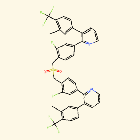 Cc1cc(-c2cccnc2-c2ccc(CS(=O)(=O)Cc3ccc(-c4ncccc4-c4ccc(C(F)(F)F)c(C)c4)cc3F)c(F)c2)ccc1C(F)(F)F